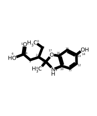 CCC(CC(=O)O)C1(C)Nc2ccc(O)cc2O1